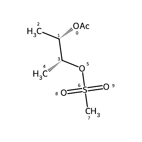 CC(=O)O[C@@H](C)[C@@H](C)OS(C)(=O)=O